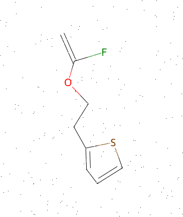 C=C(F)OCCc1cccs1